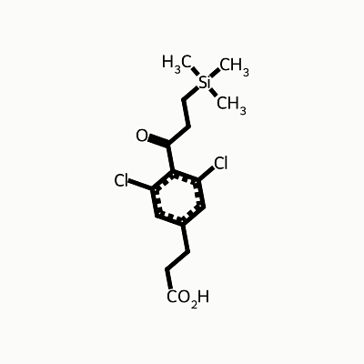 C[Si](C)(C)CCC(=O)c1c(Cl)cc(CCC(=O)O)cc1Cl